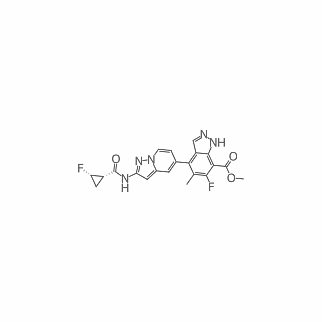 COC(=O)c1c(F)c(C)c(-c2ccn3nc(NC(=O)[C@@H]4C[C@@H]4F)cc3c2)c2cn[nH]c12